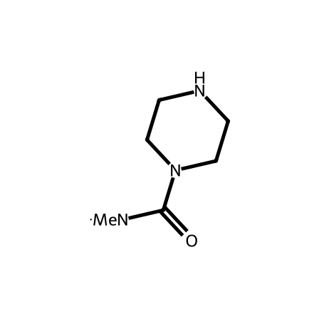 C[N]C(=O)N1CCNCC1